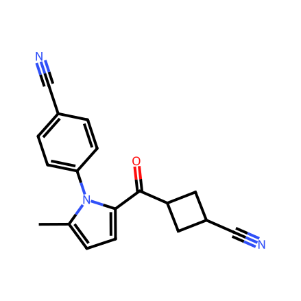 Cc1ccc(C(=O)C2CC(C#N)C2)n1-c1ccc(C#N)cc1